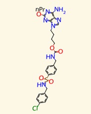 CCCOc1nc(N)c2ncn(CCCCOC(=O)NCc3ccc(S(=O)(=O)NCc4ccc(Cl)cc4)cc3)c2n1